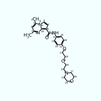 Cc1cc(C)n2ccc(C(=O)Nc3ccc(OCCOCCN4CCOCC4)cc3)c2n1